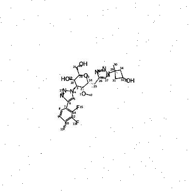 CO[C@@H]1[C@@H](n2cc(-c3ccc(F)c(F)c3F)nn2)[C@@H](O)[C@@H](CO)O[C@@H]1Cc1cn(C2(C)CC(O)C2)nn1